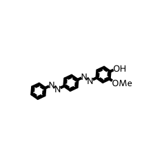 COc1cc(N=Nc2ccc(N=Nc3ccccc3)cc2)ccc1O